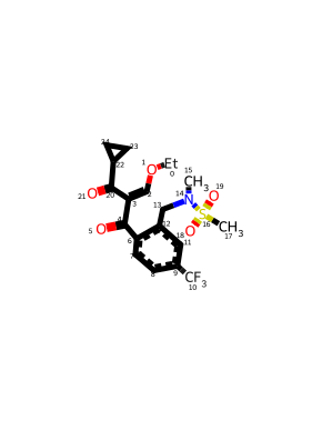 CCOC=C(C(=O)c1ccc(C(F)(F)F)cc1CN(C)S(C)(=O)=O)C(=O)C1CC1